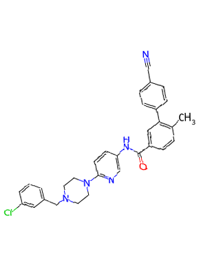 Cc1ccc(C(=O)Nc2ccc(N3CCN(Cc4cccc(Cl)c4)CC3)nc2)cc1-c1ccc(C#N)cc1